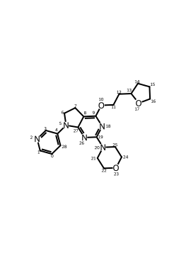 c1cncc(N2CCc3c(OCCC4CCCO4)nc(N4CCOCC4)nc32)c1